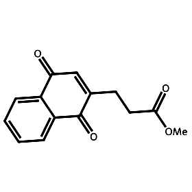 COC(=O)CCC1=CC(=O)c2ccccc2C1=O